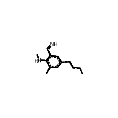 CCCCc1cc(C)c(NC)c(C=N)c1